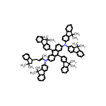 C/C(=C\CC1CC(C)(C)c2ccccc21)N(c1ccc2c(c1)C(C)(C)c1ccccc1-2)c1ccc2c(-c3ccc4c(c3)-c3ccccc3C4(C)C)c3cc(N(c4ccc5c(c4)C(C)(C)c4ccccc4-5)c4ccc5c(c4)C(C)(C)c4ccccc4-5)ccc3c(-c3ccc4c(c3)C(C)(C)c3ccccc3-4)c2c1